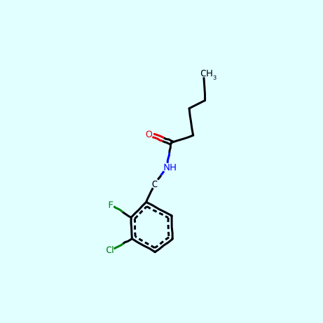 CCCCC(=O)NCc1cccc(Cl)c1F